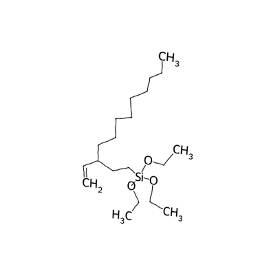 C=CC(CCCCCCCCC)CC[Si](OCC)(OCC)OCC